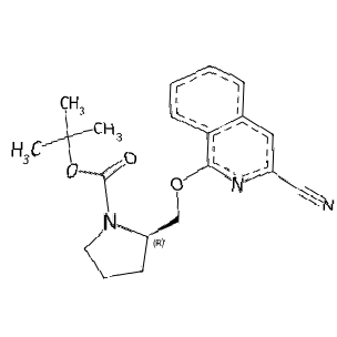 CC(C)(C)OC(=O)N1CCC[C@@H]1COc1nc(C#N)cc2ccccc12